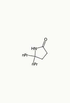 CCCC1(CCC)CCC(=O)N1